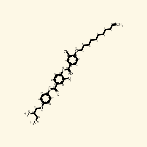 C=CCCCCCCCCCOc1ccc(C(=O)Oc2ccc(C(=O)Oc3ccc(OCC(C)CC)cc3)cc2Cl)cc1Cl